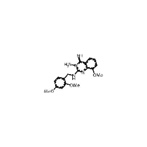 COc1ccc(CNc2nc3c(OC)cccc3c(=N)n2N)c(OC)c1